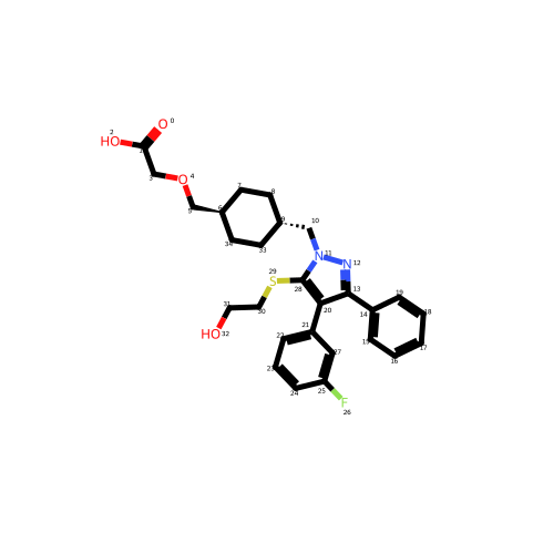 O=C(O)COC[C@H]1CC[C@H](Cn2nc(-c3ccccc3)c(-c3cccc(F)c3)c2SCCO)CC1